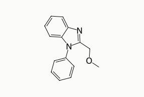 COCc1nc2ccccc2n1-c1ccccc1